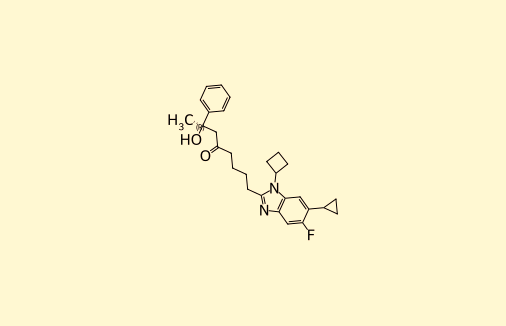 C[C@@](O)(CC(=O)CCCCc1nc2cc(F)c(C3CC3)cc2n1C1CCC1)c1ccccc1